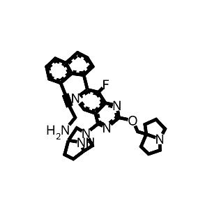 NCC#Cc1cccc2cccc(-c3ncc4c(N5CC6CCC(C5)N6)nc(OCC56CCCN5CCC6)nc4c3F)c12